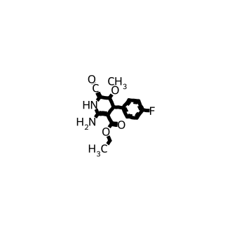 CCOC(=O)C1=C(N)NC(=C=O)C(OC)C1c1ccc(F)cc1